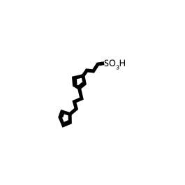 O=S(=O)(O)CCCC1C=CC(CCCC2C=CC=C2)=C1